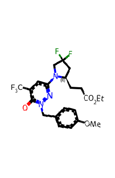 CCOC(=O)CC[C@@H]1CC(F)(F)CN1c1cc(C(F)(F)F)c(=O)n(Cc2ccc(OC)cc2)n1